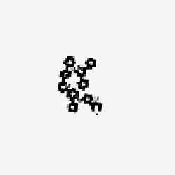 c1ccc(-c2cc(-c3ccccc3)nc(-n3c4ccccc4c4ccc(-c5cccc(-c6ccc7c(c6)c6ccccc6n7-c6ccc7oc8ccncc8c7c6)n5)cc43)c2)cc1